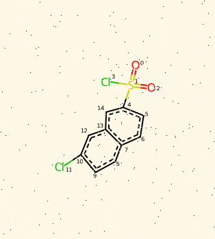 O=S(=O)(Cl)c1ccc2ccc(Cl)cc2c1